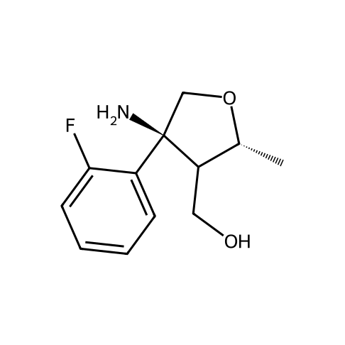 C[C@H]1OC[C@@](N)(c2ccccc2F)C1CO